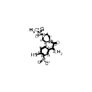 C=C(C(=O)N1CCN(S(C)(=O)=O)CC1)c1ccc(S)c([N+](=O)[O-])c1